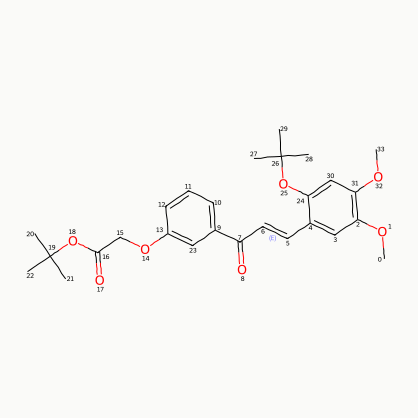 COc1cc(/C=C/C(=O)c2cccc(OCC(=O)OC(C)(C)C)c2)c(OC(C)(C)C)cc1OC